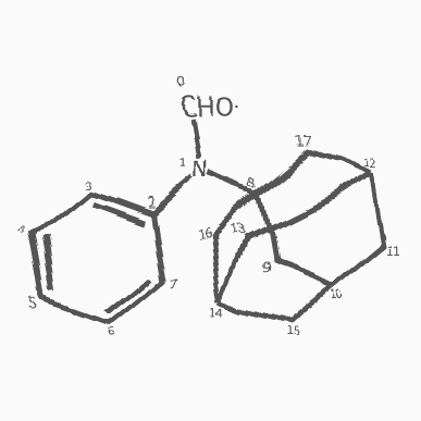 O=[C]N(c1ccccc1)C12CC3CC(CC(C3)C1)C2